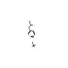 NC(CS)Cc1ccc(OCC(F)(F)F)nc1